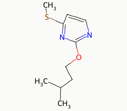 CSc1ccnc(OCCC(C)C)n1